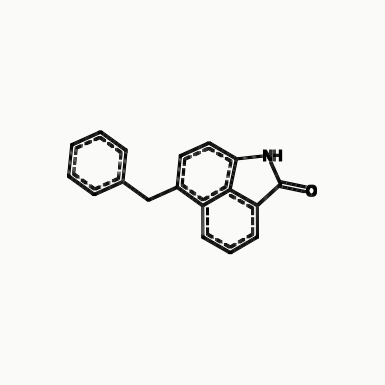 O=C1Nc2ccc(Cc3ccccc3)c3cccc1c23